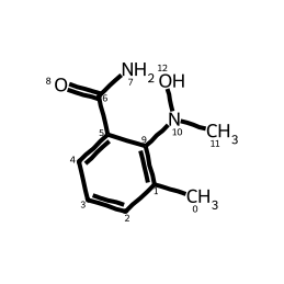 Cc1cccc(C(N)=O)c1N(C)O